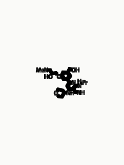 CNCC(O)COc1cc(CO)cc(-c2cc(NC3CCOCC3)c(C=N)c(NC(C)C)n2)c1